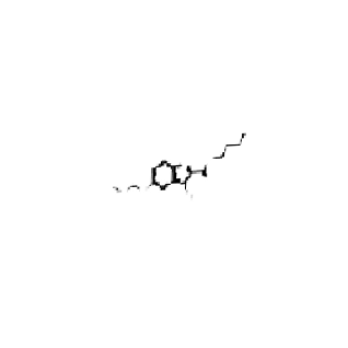 CCCCOC(=O)c1sc2ccc(OCOC)cc2c1O